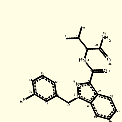 CC(C)C(NC(=O)c1nn(Cc2cccc(F)c2)c2ccccc12)C(N)=O